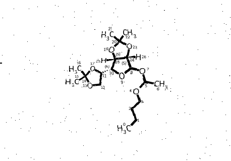 CCCCOC(C)OC1O[C@H](C2COC(C)(C)O2)[C@@H]2OC(C)(C)O[C@H]12